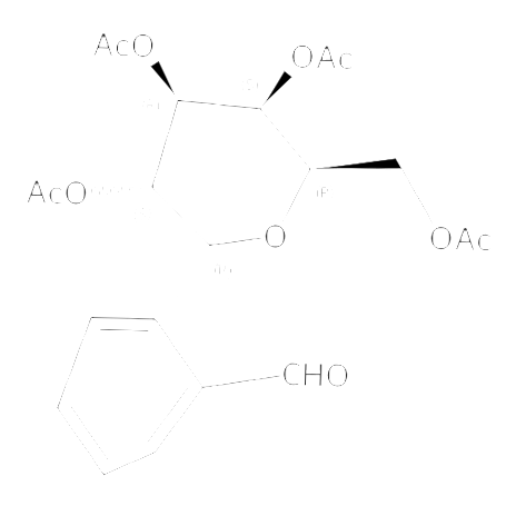 CC(=O)OC[C@H]1O[C@H](c2ccccc2C=O)[C@H](OC(C)=O)[C@@H](OC(C)=O)[C@H]1OC(C)=O